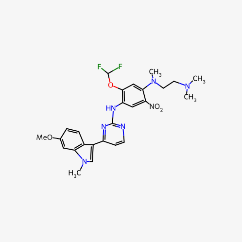 COc1ccc2c(-c3ccnc(Nc4cc([N+](=O)[O-])c(N(C)CCN(C)C)cc4OC(F)F)n3)cn(C)c2c1